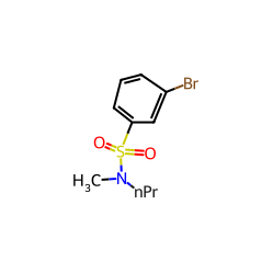 CCCN(C)S(=O)(=O)c1cccc(Br)c1